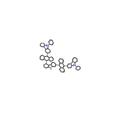 c1ccc(-n2c3ccccc3c3cc(-c4c5ccccc5c(-c5ccc6c(c5)sc5cccc(-c7c8ccccc8c(-c8ccc9c(c8)c8ccccc8n9-c8ccccc8)c8ccccc78)c56)c5ccccc45)ccc32)cc1